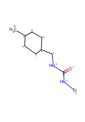 CCNC(=O)NCC1CCC(C)CC1